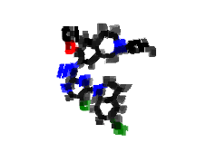 COc1cc2c(cc1Nc1ncc(Cl)c(N3CCc4cc(Br)ccc43)n1)CN(C)CC2